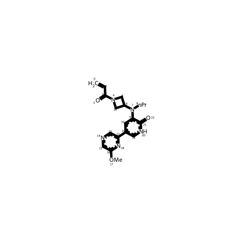 C=CC(=O)N1CC(N(CCC)c2cc(-c3cncc(OC)n3)c[nH]c2=O)C1